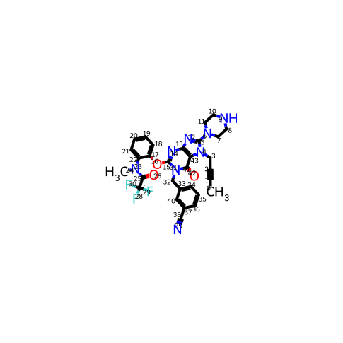 CC#CCn1c(N2CCNCC2)nc2nc(Oc3ccccc3N(C)C(=O)C(F)(F)F)n(Cc3cccc(C#N)c3)c(=O)c21